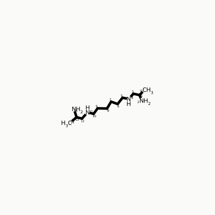 CC(N)CNCCCCCCNCC(C)N